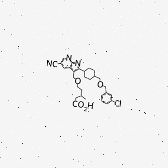 CC(CCOCc1c(C2CCC(COCc3cccc(Cl)c3)CC2)n(C)c2ncc(C#N)cc12)CC(=O)O